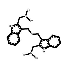 CC(C)N(Cc1[nH]c2ccccc2c1CSCc1c(CN(C(C)C)C(C)C)[nH]c2ccccc12)C(C)C